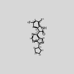 O=C1Nc2c(F)cc(F)cc2C1c1ncnc2c1cnn2C1CCCC1